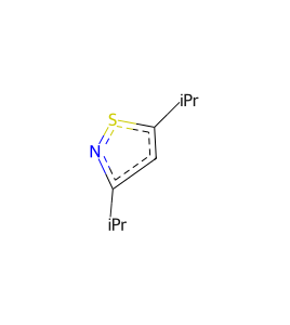 CC(C)c1cc(C(C)C)sn1